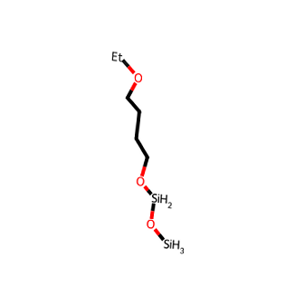 CCOCCCCO[SiH2]O[SiH3]